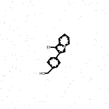 CCc1c(-c2ccc(CO)cc2)cn2ccccc12